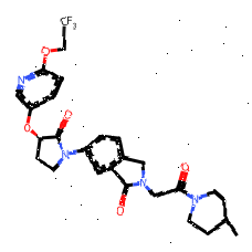 CC1CCN(C(=O)CN2Cc3ccc(N4CC[C@@H](Oc5ccc(OCC(F)(F)F)nc5)C4=O)cc3C2=O)CC1